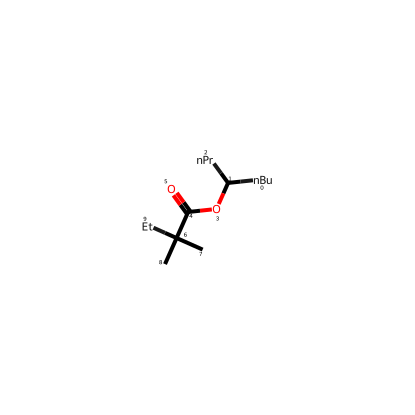 CCCCC(CCC)OC(=O)C(C)(C)CC